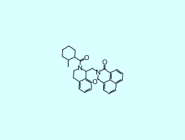 CC1CCCCC1C(=O)N1CCc2ccccc2C1CN1C(=O)c2cccc3cccc(c23)C1=O